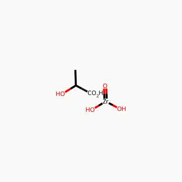 CC(O)C(=O)O.[O]=[Zr]([OH])[OH]